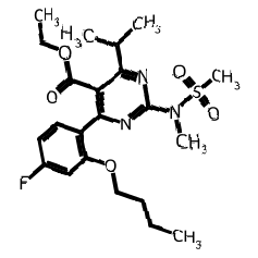 CCCCOc1cc(F)ccc1-c1nc(N(C)S(C)(=O)=O)nc(C(C)C)c1C(=O)OCC